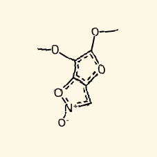 COc1oc2c[n+]([O-])oc2c1OC